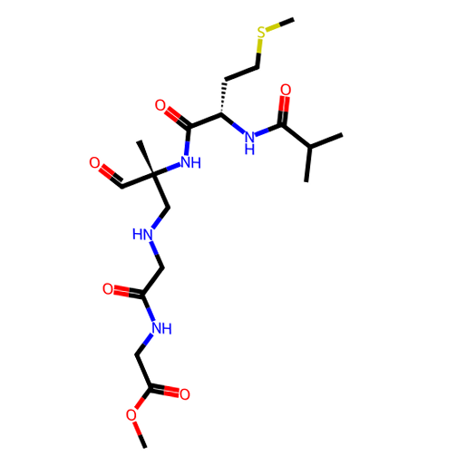 COC(=O)CNC(=O)CNC[C@](C)(C=O)NC(=O)[C@H](CCSC)NC(=O)C(C)C